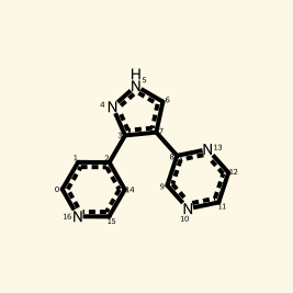 c1cc(-c2n[nH]cc2-c2cnccn2)ccn1